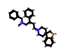 CN(Cc1ccccc1)CC(CCN1CCC2(CC1)CSc1ccccc12)c1ccccc1